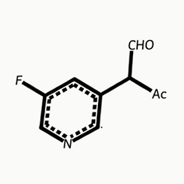 CC(=O)C(C=O)c1[c]ncc(F)c1